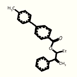 C=C(c1ccccc1)C(CC)OC(=O)c1ccc(-c2ccc(C)cc2)cc1